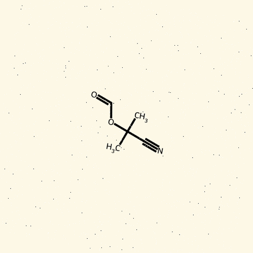 CC(C)(C#N)O[C]=O